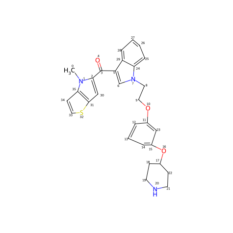 Cn1c(C(=O)c2cn(CCOc3cccc(OC4CCNCC4)c3)c3ccccc23)cc2sccc21